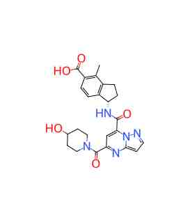 Cc1c(C(=O)O)ccc2c1CC[C@@H]2NC(=O)c1cc(C(=O)N2CCC(O)CC2)nc2ccnn12